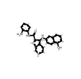 Nc1ccccc1NC(=O)c1oc2cnccc2c1Nc1ccc2c(O)cccc2c1